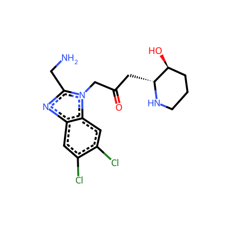 NCc1nc2cc(Cl)c(Cl)cc2n1CC(=O)C[C@H]1NCCC[C@@H]1O